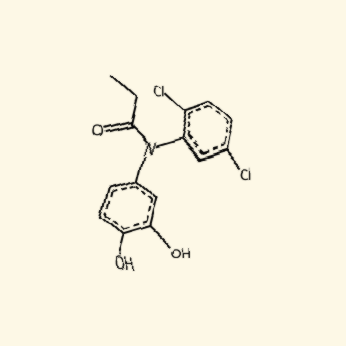 CCC(=O)N(c1ccc(O)c(O)c1)c1cc(Cl)ccc1Cl